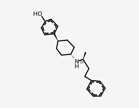 C[C@@H](CCc1ccccc1)N[C@H]1CC[C@H](c2ccc(O)cc2)CC1